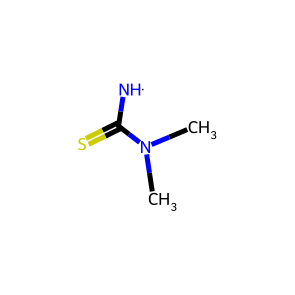 CN(C)C([NH])=S